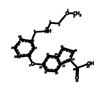 COCCNCc1cc(Oc2ccc3c(ccn3C(=O)O)c2)ncn1